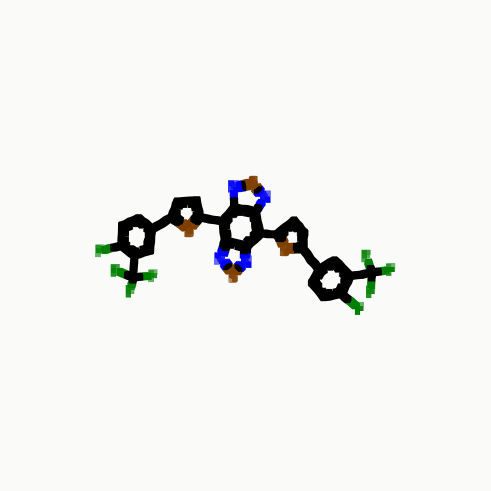 Fc1ccc(-c2ccc(-c3c4c(c(-c5ccc(-c6ccc(F)c(C(F)(F)F)c6)s5)c5nsnc35)N=S=N4)s2)cc1C(F)(F)F